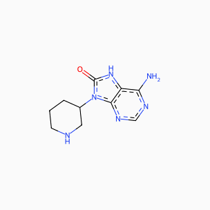 Nc1ncnc2c1[nH]c(=O)n2C1CCCNC1